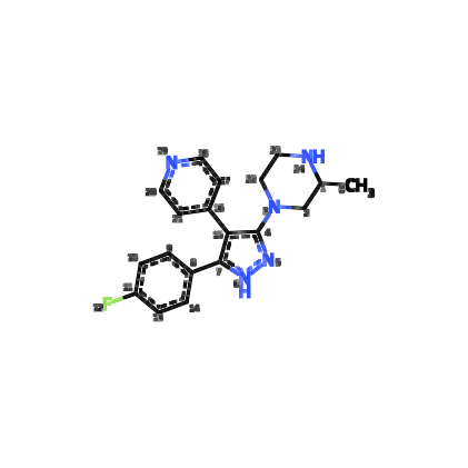 CC1CN(c2n[nH]c(-c3ccc(F)cc3)c2-c2ccncc2)CCN1